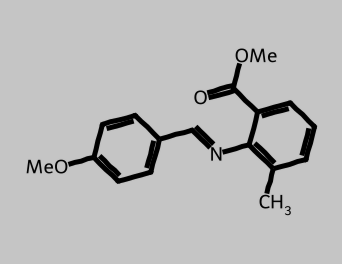 COC(=O)c1cccc(C)c1N=Cc1ccc(OC)cc1